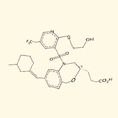 CC1CCCC(=Cc2ccc3c(c2)N(S(=O)(=O)c2cc(C(F)(F)F)cnc2OCCO)C[C@H](CCC(=O)O)O3)C1